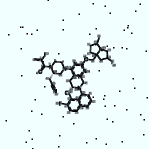 C=C(F)C(=O)N1CCN(c2nc(OCC34CCC(C)N3CC(F)C4)nc3c2CCN(c2cccc4ccc(F)c(Cl)c24)C3)C[C@@H]1CC#N